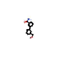 NC(=O)c1cccc(-c2cccc(CBr)c2)c1